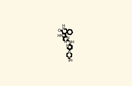 CC(C)N1CCN(c2ccc(Nc3ncc4[nH]c5c(c4n3)C3(CCCCC3)CNC5=O)nc2)CC1